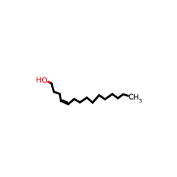 CCCCCCCCCC/C=C\CCCO